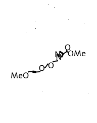 COCC#CCOCCOCCn1cc(C(=O)OC)cn1